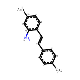 CC(=O)Oc1ccc(C=Cc2ccc(OC(C)=O)cc2N)cc1